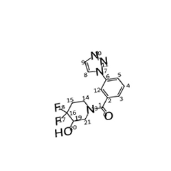 O=C(c1cccc(-n2ccnn2)c1)N1CCC(F)(F)C(O)C1